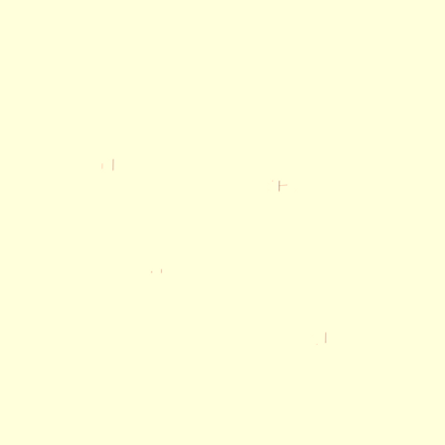 CC1=C(c2cc(F)ccc2Cl)COc2ccc(O)cc21